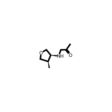 CC(=O)CN[C@@H]1COC[C@@H]1C